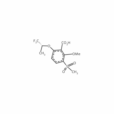 COc1c(S(C)(=O)=O)ccc(O[C@H](C)C(F)(F)F)c1C(=O)O